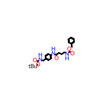 CC(C)(C)OC(=O)NCc1ccc(NC(=O)CCCNC(=O)OCc2ccccc2)cc1